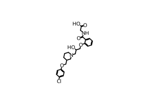 O=C(O)CNC(=O)c1ccccc1OCC(O)CN1CCCC(COc2ccc(Cl)cc2)C1